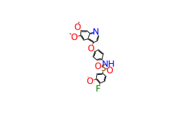 COc1cc(S(=O)(=O)Nc2ccc(Oc3ccnc4cc(OC)c(OC)cc34)cc2)ccc1F